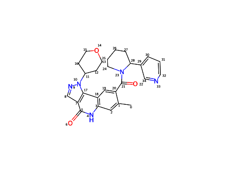 Cc1cc2[nH]c(=O)c3cnn(C4CCOCC4)c3c2cc1C(=O)N1CCCCC1c1cccnc1